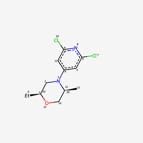 CC[C@H]1CN(c2cc(Cl)nc(Cl)c2)[C@@H](C)CO1